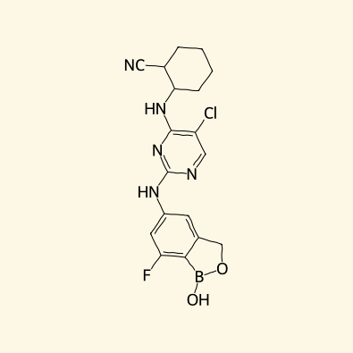 N#CC1CCCCC1Nc1nc(Nc2cc(F)c3c(c2)COB3O)ncc1Cl